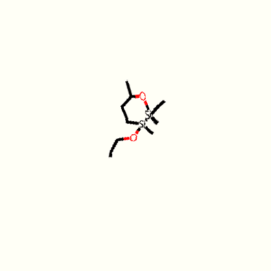 CCO[Si]1(C)CCC(C)O[Si]1(C)C